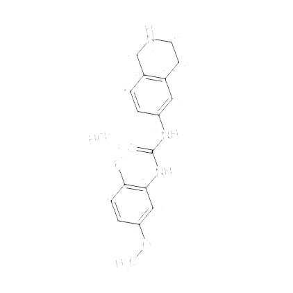 COc1ccc(F)c(NC(=O)Nc2ccc3c(c2)CCNC3)c1.Cl